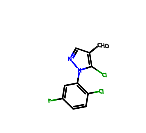 O=Cc1cnn(-c2cc(F)ccc2Cl)c1Cl